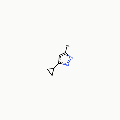 CC(=O)c1cc(C2CC2)[nH]n1